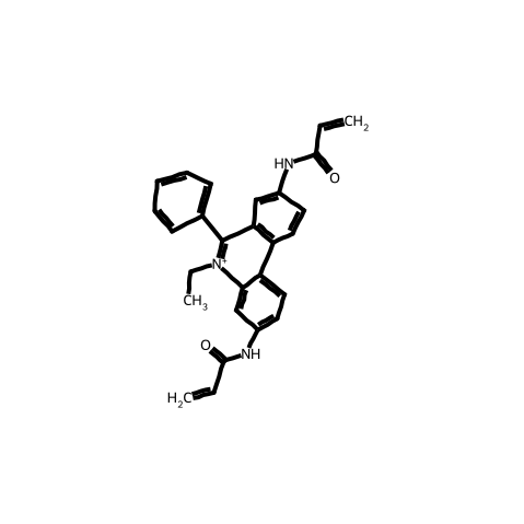 C=CC(=O)Nc1ccc2c(c1)c(-c1ccccc1)[n+](CC)c1cc(NC(=O)C=C)ccc21